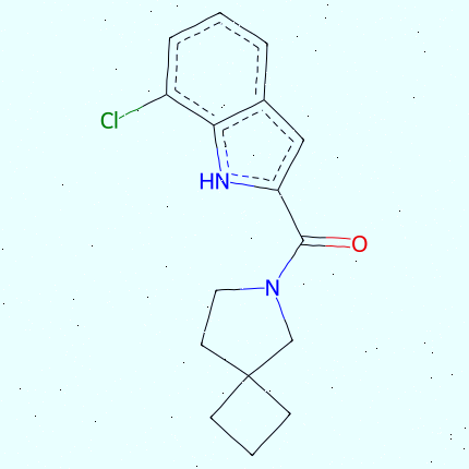 O=C(c1cc2cccc(Cl)c2[nH]1)N1CCC2(CCC2)C1